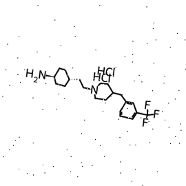 Cl.Cl.N[C@H]1CC[C@H](CCN2CCC(Cc3cccc(C(F)(F)F)c3)CC2)CC1